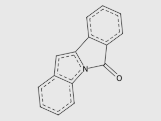 O=C1c2ccccc2-c2cc3ccccc3n21